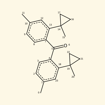 Cc1ccc(C(=O)c2ccc(C)cc2C2(C)CC2)c(C2(C)CC2)c1